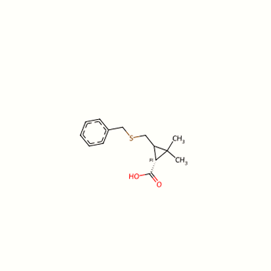 CC1(C)C(CSCc2ccccc2)[C@H]1C(=O)O